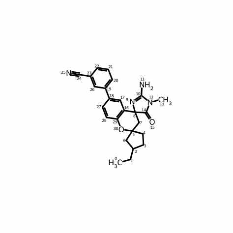 CCC1CCC2(C1)CC1(N=C(N)N(C)C1=O)c1cc(-c3cccc(C#N)c3)ccc1O2